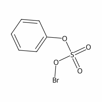 O=S(=O)(OBr)Oc1ccccc1